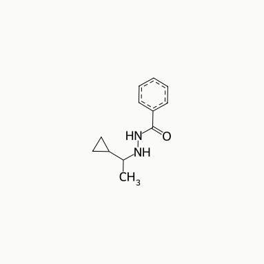 CC(NNC(=O)c1ccccc1)C1CC1